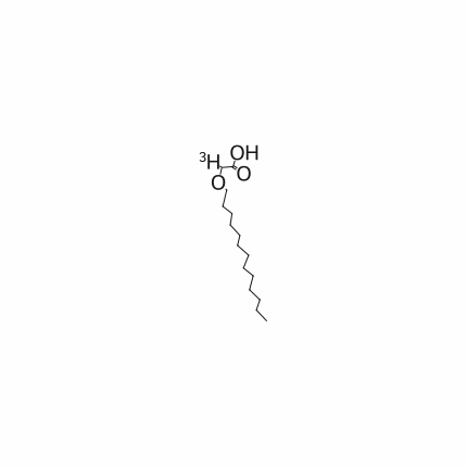 [3H]C(OCCCCCCCCCCCCC)C(=O)O